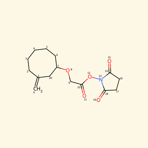 C=C1CCCCCC(OCC(=O)ON2C(=O)CCC2=O)C1